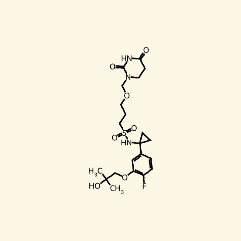 CC(C)(O)COc1cc(C2(NS(=O)(=O)CCCOCN3CCC(=O)NC3=O)CC2)ccc1F